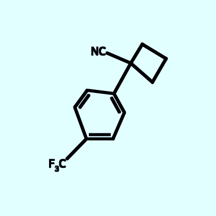 N#CC1(c2ccc(C(F)(F)F)cc2)CCC1